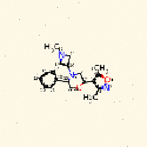 Cc1noc(C)c1C1CN(C2CN(C)C2)C(c2ccccc2)CO1